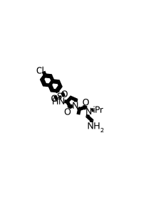 CC(C)N(CCN)C(=O)C(C)N1CCC(NS(=O)(=O)c2ccc3cc(Cl)ccc3c2)C1=O